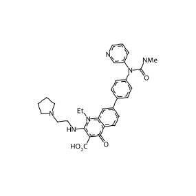 CCn1c(NCCN2CCCC2)c(C(=O)O)c(=O)c2ccc(-c3ccc(N(C(=O)NC)c4cccnc4)cc3)cc21